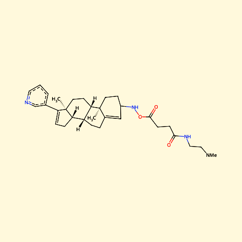 CNCCNC(=O)CCC(=O)ONC1C=C2CC[C@H]3[C@H](CC[C@]4(C)C(c5cccnc5)=CC[C@@H]34)[C@@]2(C)CC1